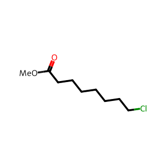 COC(=O)CCCCCCCCl